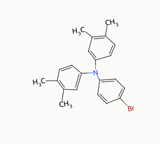 Cc1ccc(N(c2ccc(Br)cc2)c2ccc(C)c(C)c2)cc1C